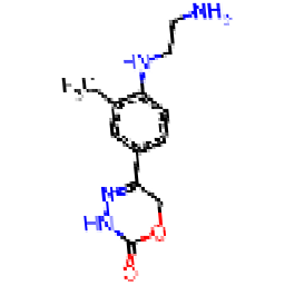 NCCNc1ccc(C2=NNC(=O)OC2)cc1C(F)(F)F